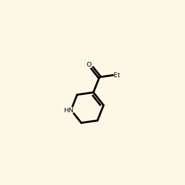 CCC(=O)C1=CCCNC1